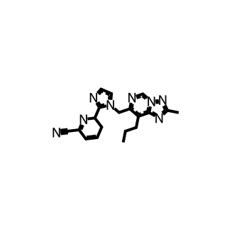 CCCc1c(Cn2ccnc2C2CC=CC(C#N)=N2)ncn2nc(C)nc12